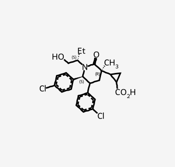 CC[C@@H](CO)N1C(=O)[C@@](C)(C2CC2C(=O)O)CC(c2cccc(Cl)c2)[C@H]1c1ccc(Cl)cc1